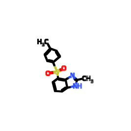 Cc1ccc(S(=O)(=O)c2cccc3[nH]c(C)nc23)cc1